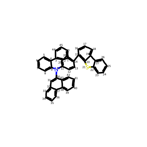 c1ccc(-c2ccccc2N(c2ccc(-c3cccc4c3sc3ccccc34)cc2)c2cc3ccccc3c3ccccc23)cc1